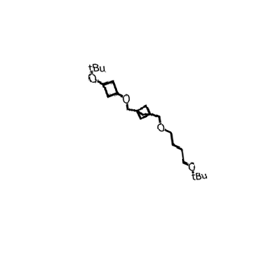 CC(C)(C)OCCCCOCC12CC(COC3CC(OC(C)(C)C)C3)(C1)C2